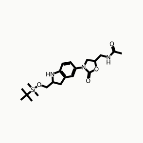 CC(=O)NCC1CN(c2ccc3c(c2)CC(CO[Si](C)(C)C(C)(C)C)N3)C(=O)O1